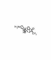 CCN1C(=O)c2cccc3c(S(=O)(=O)Nc4cccc(N)c4)ccc1c23